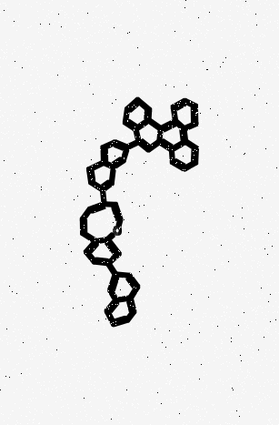 c1ccc2cc(-c3ccc4cccc(-c5ccc6ccc(-c7cc8c9ccccc9c9ccccc9c8c8ccccc78)cc6c5)ccoc4c3)ccc2c1